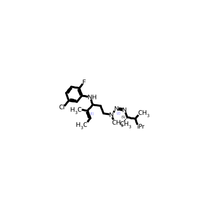 C/C=C(\C)C(CCN(C)/N=N\[C@@H](C)C(C)C(C)C)Nc1cc(Cl)ccc1F